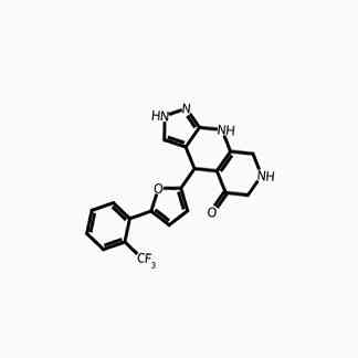 O=C1CNCC2=C1C(c1ccc(-c3ccccc3C(F)(F)F)o1)c1c[nH]nc1N2